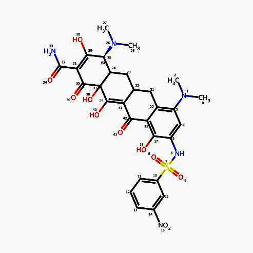 CN(C)c1cc(NS(=O)(=O)c2cccc([N+](=O)[O-])c2)c(O)c2c1CC1CC3[C@H](N(C)C)C(O)=C(C(N)=O)C(=O)C3(O)C(O)=C1C2=O